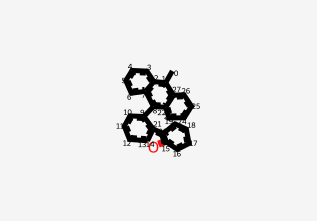 Cc1c2ccccc2c(-c2cccc3oc4ccccc4c23)c2ccccc12